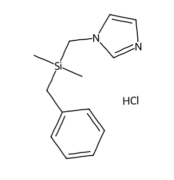 C[Si](C)(Cc1ccccc1)Cn1ccnc1.Cl